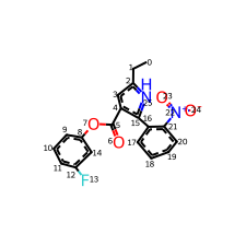 CCc1cc(C(=O)Oc2cccc(F)c2)c(-c2ccccc2[N+](=O)[O-])[nH]1